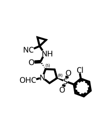 N#CC1(NC(=O)[C@@H]2C[C@@H](S(=O)(=O)c3ccccc3Cl)CN2C=O)CC1